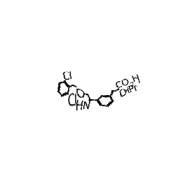 CC(C)OC(Cc1cccc(C(=N)COCc2c(Cl)cccc2Cl)c1)C(=O)O